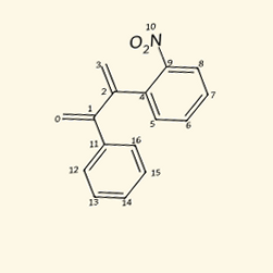 C=C(C(=C)c1ccccc1[N+](=O)[O-])c1ccccc1